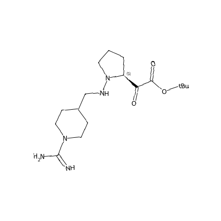 CC(C)(C)OC(=O)C(=O)[C@@H]1CCCN1NCC1CCN(C(=N)N)CC1